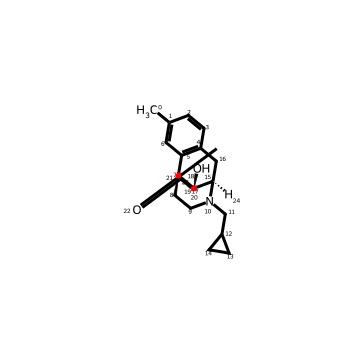 Cc1ccc2c(c1)[C@]13CCN(CC4CC4)[C@H](C2)[C@]1(O)CCC(=O)C3